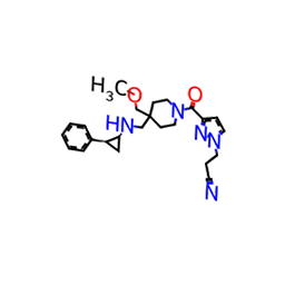 COCC1(CN[C@@H]2C[C@H]2c2ccccc2)CCN(C(=O)c2ccn(CCC#N)n2)CC1